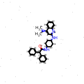 CN(C)c1cc(NC2CCC(NC(=O)C(c3ccccc3)c3ccccc3)CC2)nc2ccccc12